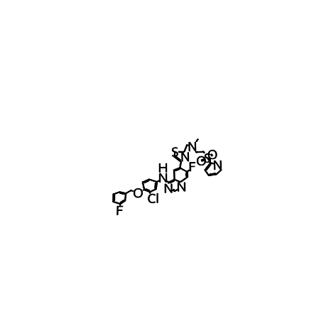 CN(CCS(=O)(=O)c1ccccn1)Cc1nc(-c2cc3c(Nc4ccc(OCc5cccc(F)c5)c(Cl)c4)ncnc3cc2F)cs1